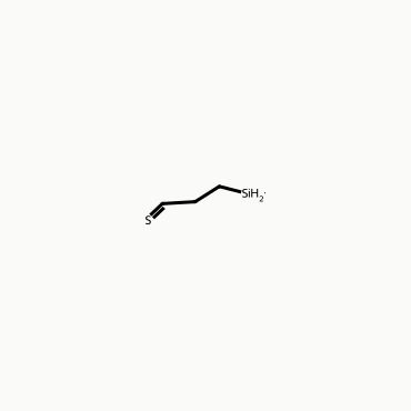 [SiH2]CCC=S